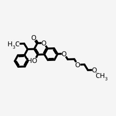 CCC(c1ccccc1)c1c(O)c2ccc(OCCOCCOC)cc2oc1=O